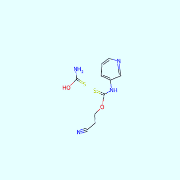 N#CCCOC(=S)Nc1cccnc1.NC(O)=S